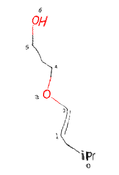 CC(C)C=COCCO